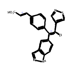 CC/C(=C(/c1ccc(/C=C/C(=O)O)cc1)c1ccc2[nH]ncc2c1)c1cnsc1